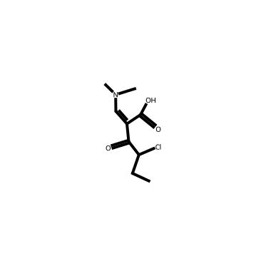 CCC(Cl)C(=O)C(=CN(C)C)C(=O)O